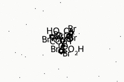 O=C(Oc1c(Br)ccc(Br)c1C(=O)O)c1cc(C(=O)Oc2c(Br)ccc(Br)c2C(=O)O)cc(C(=O)Oc2c(Br)ccc(Br)c2C(=O)O)c1